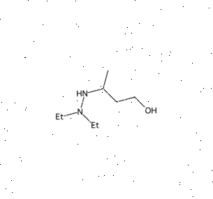 CCN(CC)NC(C)CCO